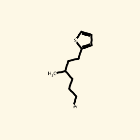 CC(C)CCCC(C)CCc1cccs1